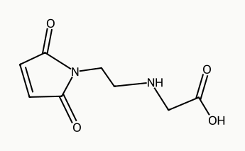 O=C(O)CNCCN1C(=O)C=CC1=O